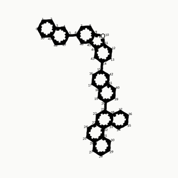 c1ccc2cc(-c3ccc4oc5ccc(-c6ccc7cc(-c8cc9ccc%10ccccc%10c9c9ccccc89)ccc7c6)cc5c4c3)ccc2c1